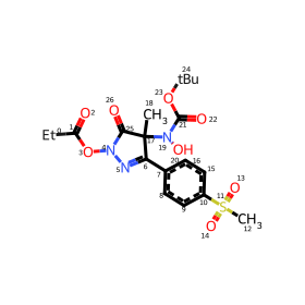 CCC(=O)ON1N=C(c2ccc(S(C)(=O)=O)cc2)C(C)(N(O)C(=O)OC(C)(C)C)C1=O